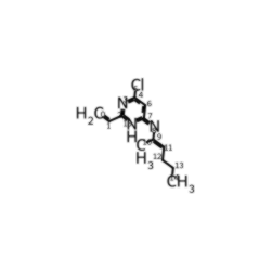 C=Cc1nc(Cl)c/c(=N/C(C)=C/CCC)[nH]1